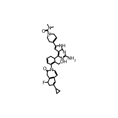 CN(C)C(=O)N1CC=C(c2cc3c(C4CC=CC(N5C=CC6=C(CC5=O)C(F)CC(C5CC5)=C6)=C4CO)nc(N)nc3[nH]2)CC1